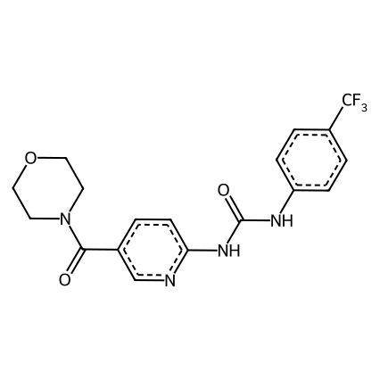 O=C(Nc1ccc(C(F)(F)F)cc1)Nc1ccc(C(=O)N2CCOCC2)cn1